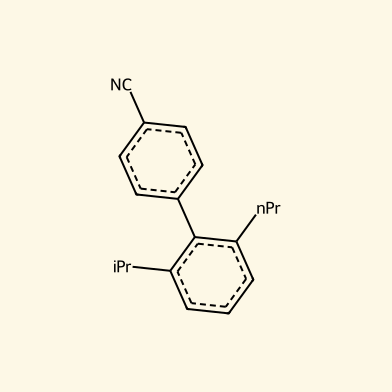 CCCc1cccc(C(C)C)c1-c1ccc(C#N)cc1